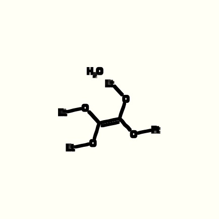 CCOC(OCC)=C(OCC)OCC.O